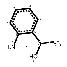 Nc1ccccc1C(O)C(F)(F)F